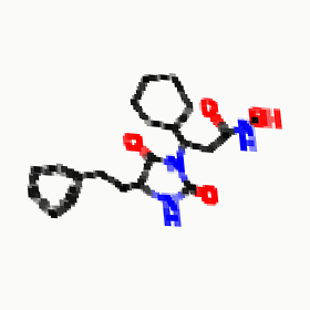 O=C(CC(C1CCCCC1)N1C(=O)NC(CCc2ccccc2)C1=O)NO